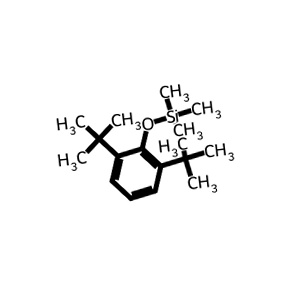 CC(C)(C)c1cccc(C(C)(C)C)c1O[Si](C)(C)C